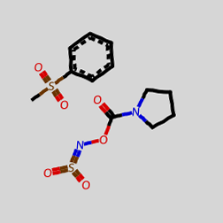 CS(=O)(=O)c1ccccc1.O=C(ON=S(=O)=O)N1CCCC1